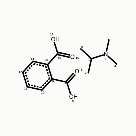 CC(C)N(C)C.O=C(O)c1ccccc1C(=O)O